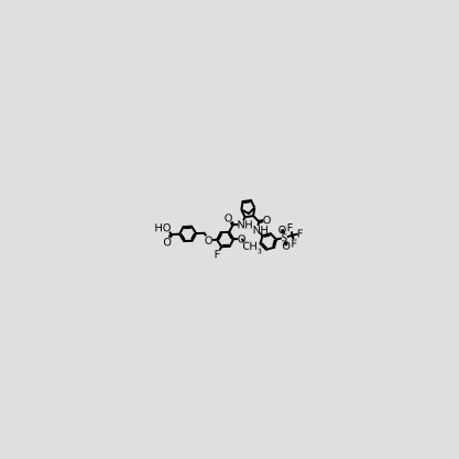 COc1cc(F)c(OCc2ccc(C(=O)O)cc2)cc1C(=O)NC1C2C=CC(C2)C1C(=O)Nc1cccc(S(=O)(=O)C(F)(F)F)c1